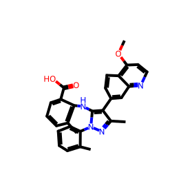 COc1ccnc2cc(-c3c(C)nn(-c4ccccc4C)c3Nc3c(C)cccc3C(=O)O)ccc12